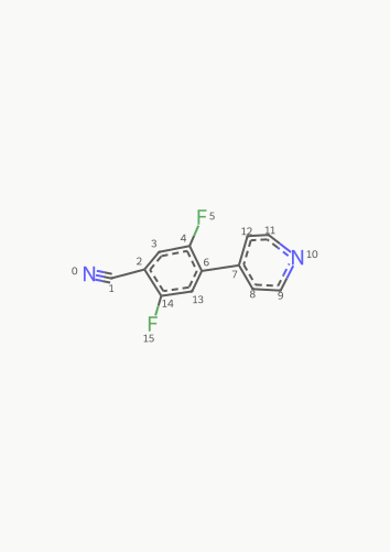 N#Cc1cc(F)c(-c2ccncc2)cc1F